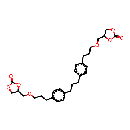 O=C1OCC(COCCCc2ccc(CCCc3ccc(CCCOCC4COC(=O)O4)cc3)cc2)O1